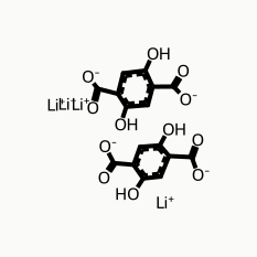 O=C([O-])c1cc(O)c(C(=O)[O-])cc1O.O=C([O-])c1cc(O)c(C(=O)[O-])cc1O.[Li+].[Li+].[Li+].[Li+]